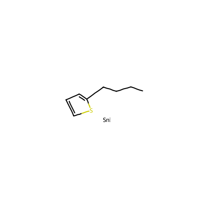 CCCCc1cccs1.[Sn]